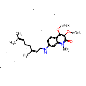 CCCCCCCCOc1c(OCCCCCC)c2ccc(NCC=C(C)CCC=C(C)C)cc2n(CCCC)c1=O